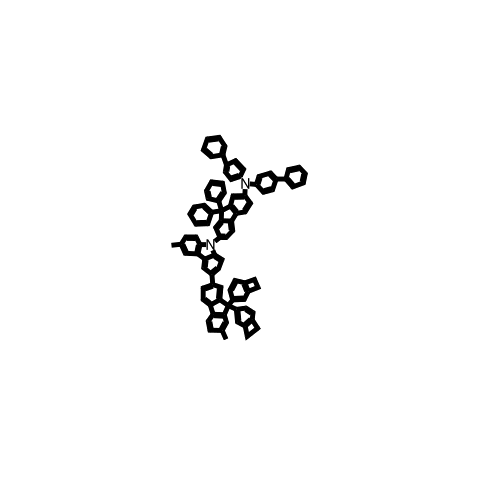 Cc1ccc2c(c1)C(c1ccc3c(c1)CC3)(c1ccc3c(c1)CC3)c1cc(-c3ccc4c(c3)c3cc(C)ccc3n4-c3ccc4c(c3)C(c3ccccc3)(c3ccccc3)c3cc(N(c5ccc(-c6ccccc6)cc5)c5ccc(-c6ccccc6)cc5)ccc3-4)ccc1-2